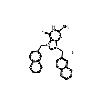 Nc1nc2c(c(=O)[nH]1)[n+](Cc1ccc3ccccc3c1)cn2Cc1ccc2ccccc2c1.[Br-]